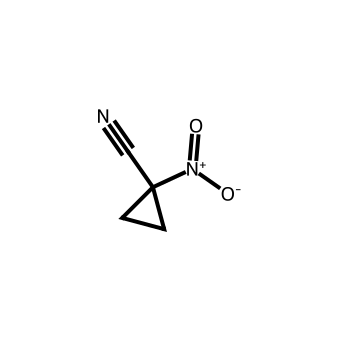 N#CC1([N+](=O)[O-])CC1